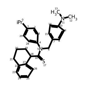 CC(C)c1ccc(N(Cc2ccc(N(C)C)cc2)C(=S)C2CCCc3ccccc32)cc1